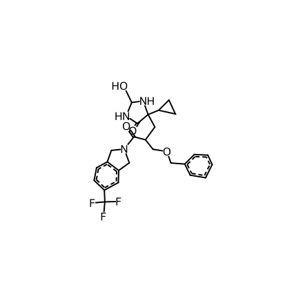 O=C(C(COCc1ccccc1)CC1(C2CC2)NC(O)NC1=O)N1Cc2ccc(C(F)(F)F)cc2C1